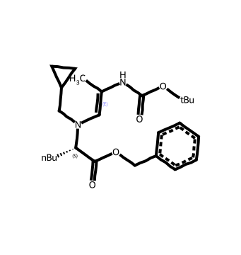 CCCC[C@@H](C(=O)OCc1ccccc1)N(/C=C(\C)NC(=O)OC(C)(C)C)CC1CC1